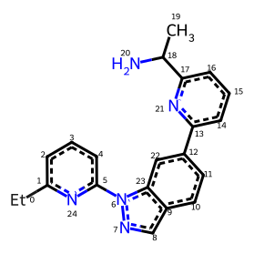 CCc1cccc(-n2ncc3ccc(-c4cccc(C(C)N)n4)cc32)n1